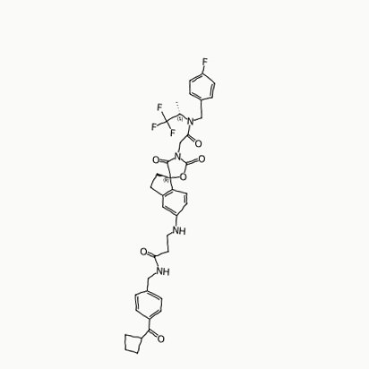 C[C@H](N(Cc1ccc(F)cc1)C(=O)CN1C(=O)O[C@@]2(CCc3cc(NCCC(=O)NCc4ccc(C(=O)C5CCC5)cc4)ccc32)C1=O)C(F)(F)F